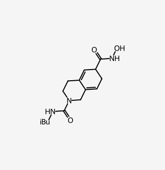 CCC(C)NC(=O)N1CCC2=CC(C(=O)NO)CC=C2C1